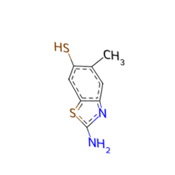 Cc1cc2nc(N)sc2cc1S